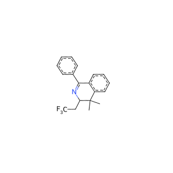 CC1(C)c2ccccc2C(c2ccccc2)=NC1CC(F)(F)F